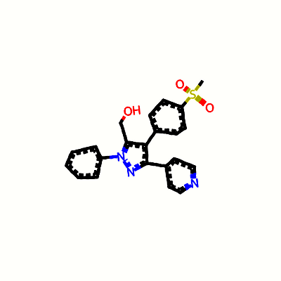 CS(=O)(=O)c1ccc(-c2c(-c3ccncc3)nn(-c3ccccc3)c2CO)cc1